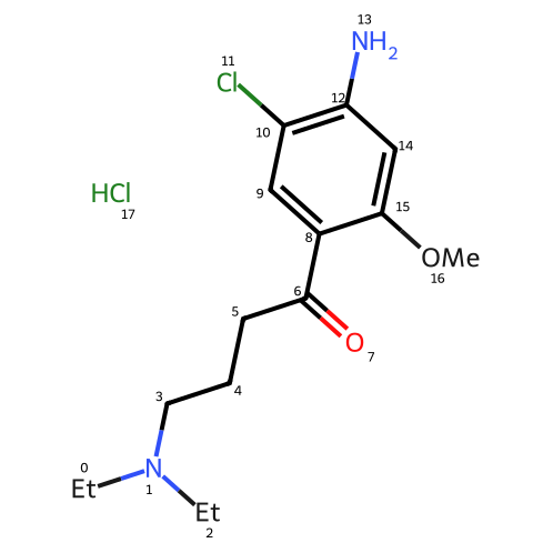 CCN(CC)CCCC(=O)c1cc(Cl)c(N)cc1OC.Cl